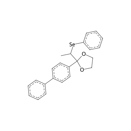 CC([Se]c1ccccc1)C1(c2ccc(-c3ccccc3)cc2)OCCO1